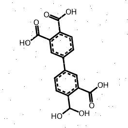 O=C(O)c1ccc(-c2ccc(C(O)O)c(C(=O)O)c2)cc1C(=O)O